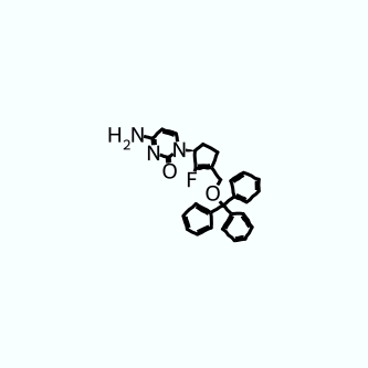 Nc1ccn([C@H]2CCC(COC(c3ccccc3)(c3ccccc3)c3ccccc3)=C2F)c(=O)n1